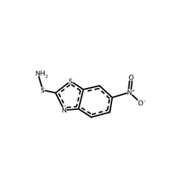 NSc1nc2ccc([N+](=O)[O-])cc2s1